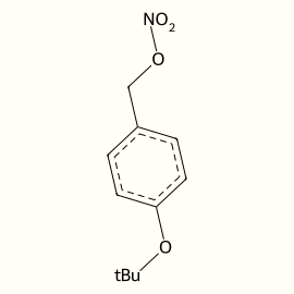 CC(C)(C)Oc1ccc(CO[N+](=O)[O-])cc1